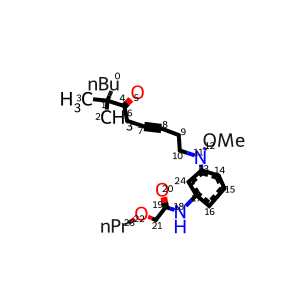 CCCCC(C)(C)C(=O)CC#CCCN(OC)c1cccc(NC(=O)COCCC)c1